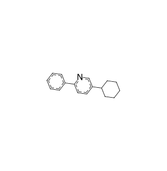 c1ccc(-c2ccc(C3CCCCC3)cn2)cc1